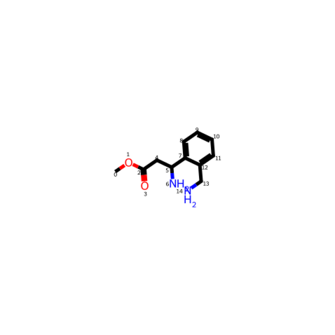 COC(=O)CC(N)c1ccccc1CN